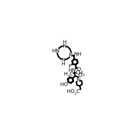 CC(C)(NC(=O)c1ccc(C(=N)N2CCCNCCNCCCNCC2)cc1F)C(C(=O)N1CCC(CC(=O)O)CC1)c1ccc(O)cc1